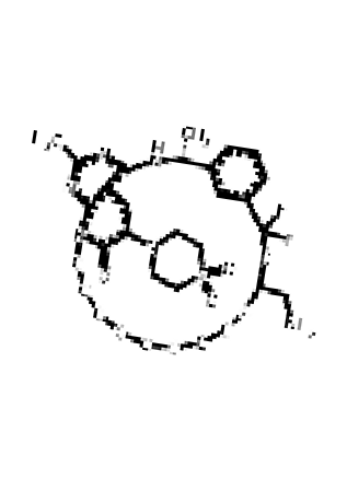 Cc1nc2c3cc(N4CCS(=O)(=O)CC4)c(=O)n(c3n1)CCCCCCCCCC(CN)CC(F)(F)c1cccc(c1)[C@@H](C)N2